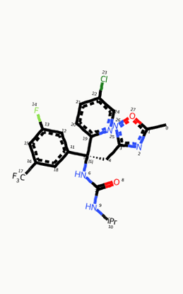 Cc1nc(C[C@](NC(=O)NC(C)C)(c2cc(F)cc(C(F)(F)F)c2)c2ccc(Cl)cn2)no1